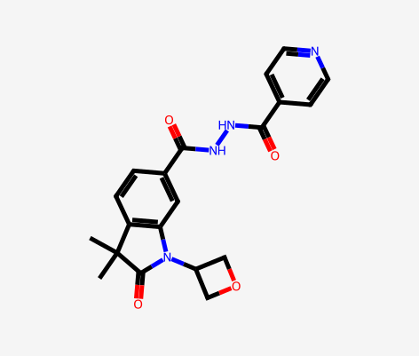 CC1(C)C(=O)N(C2COC2)c2cc(C(=O)NNC(=O)c3ccncc3)ccc21